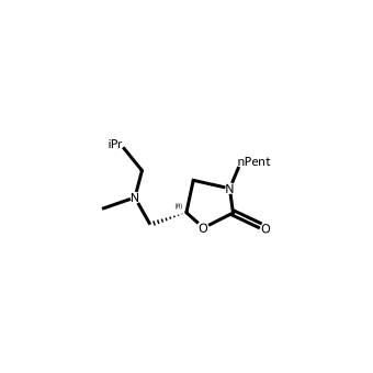 CCCCCN1C[C@@H](CN(C)CC(C)C)OC1=O